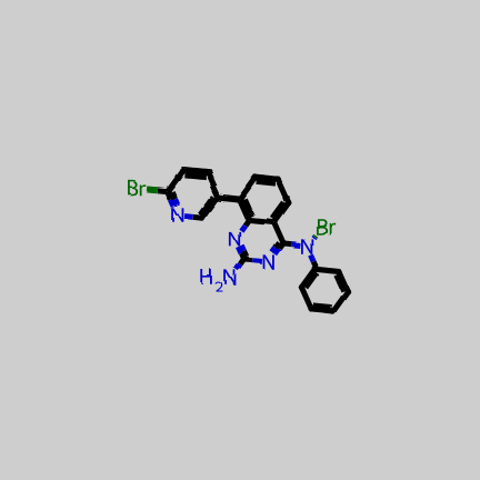 Nc1nc(N(Br)c2ccccc2)c2cccc(-c3ccc(Br)nc3)c2n1